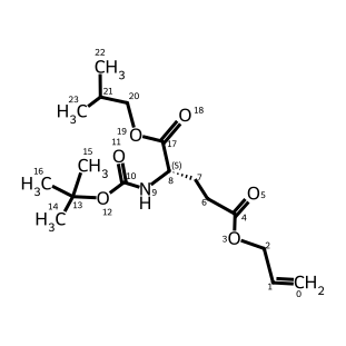 C=CCOC(=O)CC[C@H](NC(=O)OC(C)(C)C)C(=O)OCC(C)C